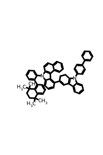 CC1(C)CCC(C)(C)c2c(-c3ccccc3-n3c4cccc(C5=Cc6c(n(-c7ccc(-c8ccccc8)cc7)c7ccccc67)CC5)c4c4c5ccccc5ccc43)cccc21